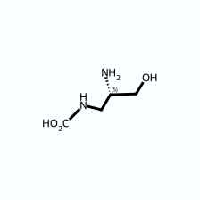 N[C@H](CO)CNC(=O)O